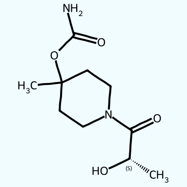 C[C@H](O)C(=O)N1CCC(C)(OC(N)=O)CC1